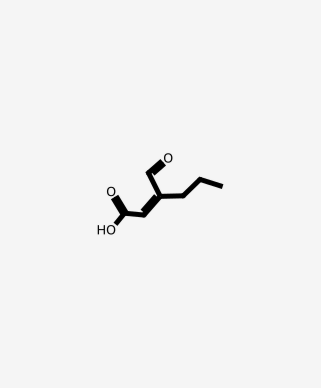 CCC/C(C=O)=C/C(=O)O